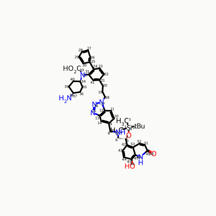 CC(C)(C)[Si](C)(C)O[C@@H](CNCc1ccc2c(c1)nnn2CCCc1ccc(-c2ccccc2)c(N(C(=O)O)[C@H]2CC[C@H](N)CC2)c1)c1ccc(O)c2[nH]c(=O)ccc12